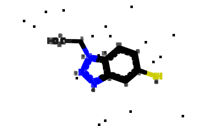 O=C(O)Cn1nnc2cc(S)ccc21